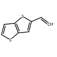 [CH]=Cc1cc2sccc2s1